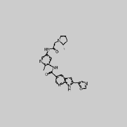 Cc1ncc(NC(=O)CN2CCC[C@@H]2C)cc1NC(=O)c1cnc2[nH]c(-c3cnco3)cc2c1